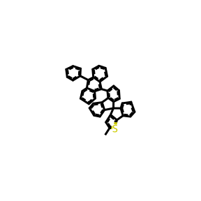 Cc1cc2c(s1)-c1ccccc1C21c2ccccc2-c2c(-c3c4ccccc4c(-c4ccccc4)c4ccccc34)cccc21